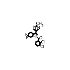 Cc1ncc(C(CNC(=O)c2cccc(Cl)c2Cl)C2CCC(F)(F)CC2)cn1